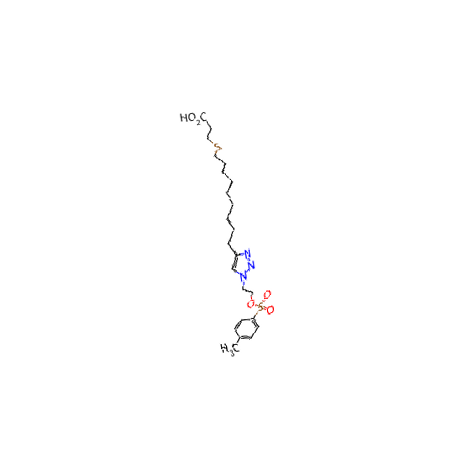 Cc1ccc(S(=O)(=O)OCCn2cc(CCCCCCCCCSCCC(=O)O)nn2)cc1